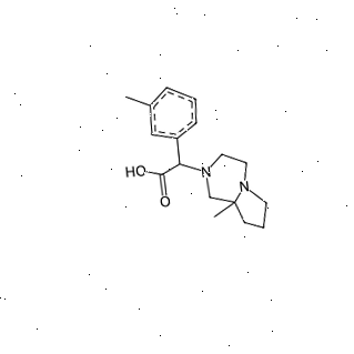 Cc1cccc(C(C(=O)O)N2CCN3CCCC3(C)C2)c1